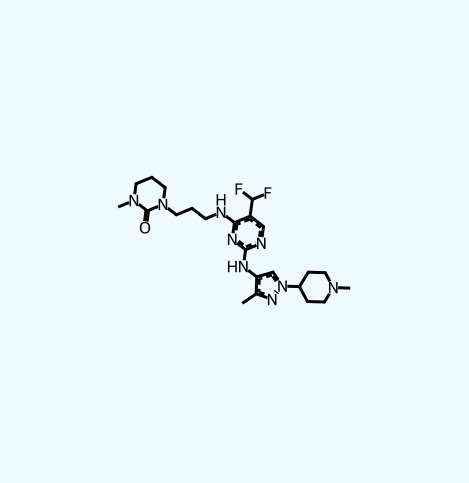 Cc1nn(C2CCN(C)CC2)cc1Nc1ncc(C(F)F)c(NCCCN2CCCN(C)C2=O)n1